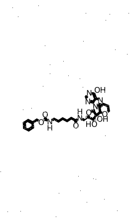 O=C(CCCCCNC(=O)OCc1ccccc1)NC[C@H]1O[C@@H](n2cnc3c(O)ncnc32)[C@@](O)(C2CCCCO2)[C@@H]1O